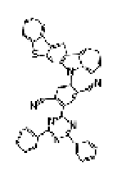 N#Cc1cc(-n2c3ccccc3c3cc4c(cc32)sc2ccccc24)c(C#N)cc1-c1nc(-c2ccccc2)nc(-c2ccccc2)n1